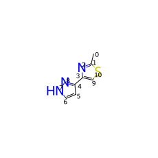 Cc1nc(-c2cc[nH]n2)cs1